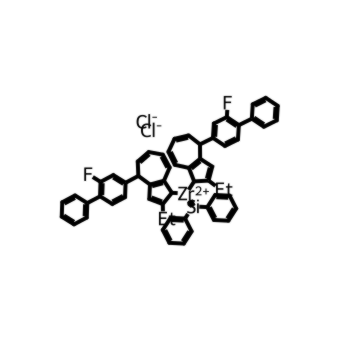 CCC1=CC2=C(C=CC=CC2c2ccc(-c3ccccc3)c(F)c2)[CH]1[Zr+2]([CH]1C(CC)=CC2=C1C=CC=CC2c1ccc(-c2ccccc2)c(F)c1)=[Si](c1ccccc1)c1ccccc1.[Cl-].[Cl-]